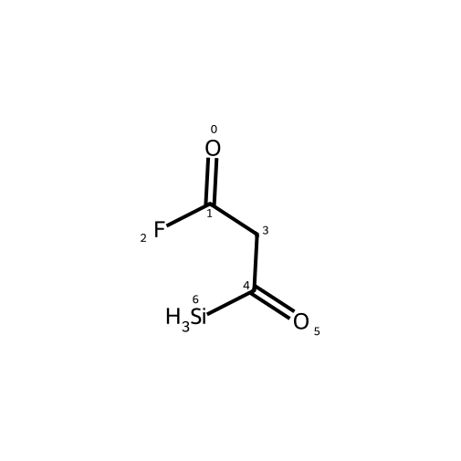 O=C(F)CC(=O)[SiH3]